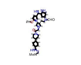 CN/C=N\C(=N)c1ccc(C2=CCN(C(=O)CN3CC[C@@H](CCN(C=O)c4ccc(N)c(C(=N)c5ccc(OC(C)C)nc5)c4)C3)CC2)cc1